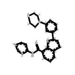 O=C(Nc1ccncn1)c1cccc2ccc(-c3cccc(N4CCOCC4)c3)nc12